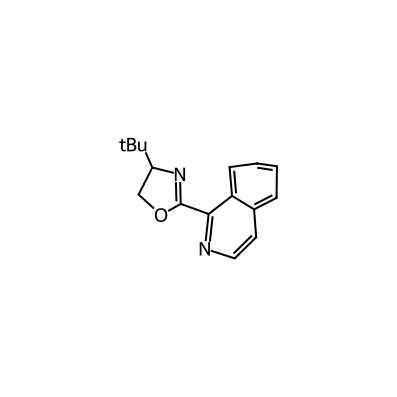 CC(C)(C)C1COC(c2nccc3ccccc23)=N1